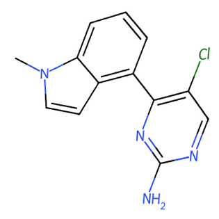 Cn1ccc2c(-c3nc(N)ncc3Cl)cccc21